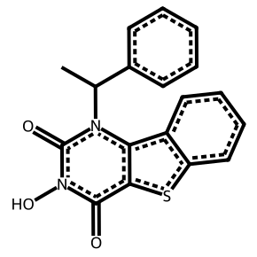 CC(c1ccccc1)n1c(=O)n(O)c(=O)c2sc3ccccc3c21